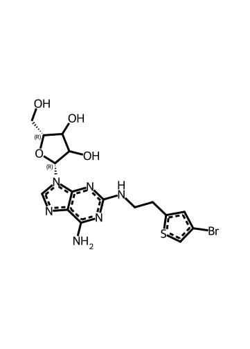 Nc1nc(NCCc2cc(Br)cs2)nc2c1ncn2[C@@H]1O[C@H](CO)C(O)C1O